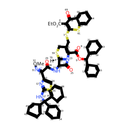 CCOC(=O)c1c(SCC2=C(C(=O)OC(c3ccccc3)c3ccccc3)N3C(=O)C(NC(=O)/C(=N\OC)c4csc(NC(c5ccccc5)(c5ccccc5)c5ccccc5)n4)[C@H]3SC2)sc2ccccc2c1=O